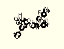 C[C@H]1c2c(nn(-c3ccc(F)c(Cl)c3)c2-n2ccn(-c3ccc4c(cnn4C)c3F)c2=O)CCN1C(=O)c1cc2cc([C@@H]3CCOC(C)(C)C3)ccn2c1C1(c2noc(=O)[nH]2)CC1